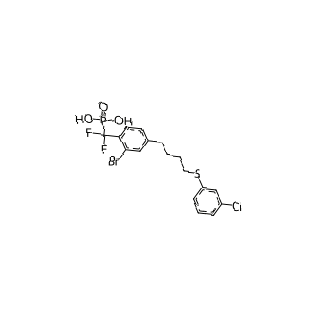 O=P(O)(O)C(F)(F)c1ccc(CCCCSc2cccc(Cl)c2)cc1Br